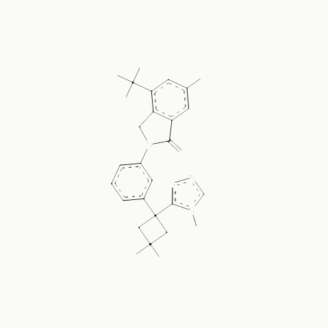 [CH2]c1cc2c(c(C(F)(F)F)c1)CN(c1cccc(C3(c4nncn4C)CC(C)(F)C3)c1)C2=O